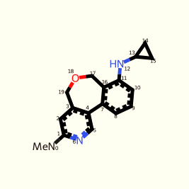 CNc1cc2c(cn1)-c1cccc(NC3CC3)c1COC2